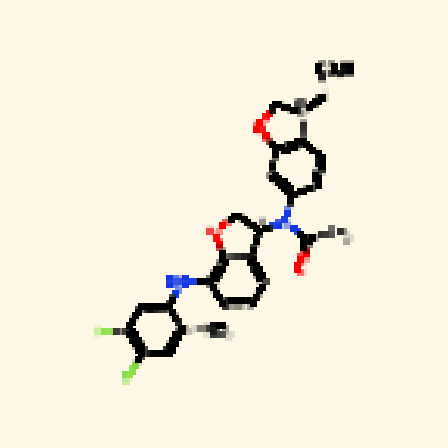 O=C(O)C[C@@H]1COc2cc(N(C(=O)C(F)(F)F)[C@@H]3COc4c(Nc5cc(F)c(F)cc5[N+](=O)[O-])cccc43)ccc21